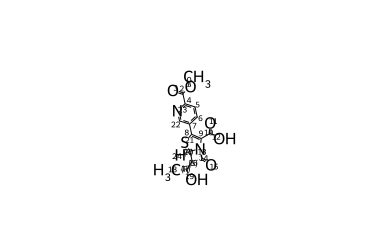 COC(=O)c1ccc(C2=C(C(=O)O)N3C(=O)[C@H]([C@@H](C)O)[C@H]3S2)cn1